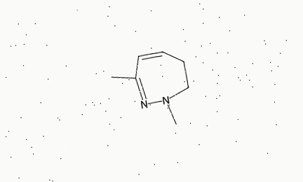 CC1=NN(C)CCC=C1